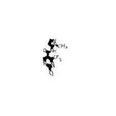 Cn1nccc1NC(=O)c1cnc(Cl)nc1C(F)(F)F